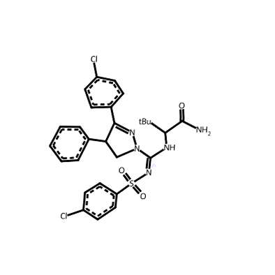 CC(C)(C)C(N/C(=N/S(=O)(=O)c1ccc(Cl)cc1)N1CC(c2ccccc2)C(c2ccc(Cl)cc2)=N1)C(N)=O